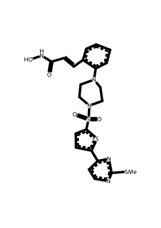 CSc1nccc(-c2ccc(S(=O)(=O)N3CCN(c4ccccc4/C=C/C(=O)NO)CC3)s2)n1